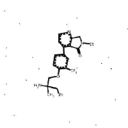 CCN1Cc2nccc(-c3ccc(OCC(C)(N)CC(C)C)c(C(F)(F)F)c3)c2C1=O